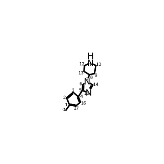 Cc1ccc(-c2cn(C3CCNCC3)cn2)cc1